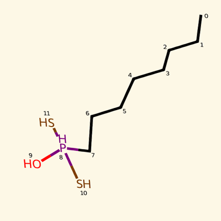 CCCCCCCC[PH](O)(S)S